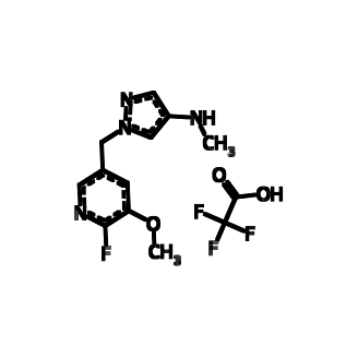 CNc1cnn(Cc2cnc(F)c(OC)c2)c1.O=C(O)C(F)(F)F